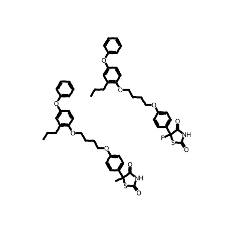 CCCc1cc(Oc2ccccc2)ccc1OCCCCOc1ccc(C2(C)SC(=O)NC2=O)cc1.CCCc1cc(Oc2ccccc2)ccc1OCCCCOc1ccc(C2(F)SC(=O)NC2=O)cc1